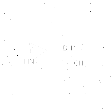 CB[C@H]1CN1